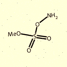 COS(=O)(=O)ON